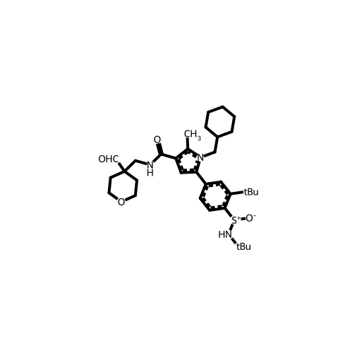 Cc1c(C(=O)NCC2(C=O)CCOCC2)cc(-c2ccc([S+]([O-])NC(C)(C)C)c(C(C)(C)C)c2)n1CC1CCCCC1